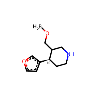 BOCC1CNCC[C@H]1c1ccoc1